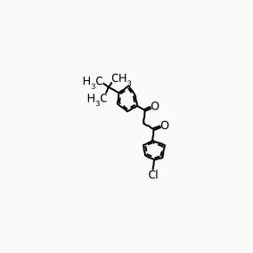 CC(C)(C)c1ccc(C(=O)CC(=O)c2ccc(Cl)cc2)cc1